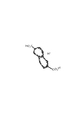 O=C(O)c1ccc2cc(C(=O)O)ccc2c1.[H+]